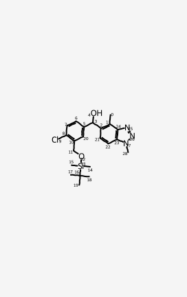 Cc1c(C(O)c2ccc(Cl)c(CO[Si](C)(C)C(C)(C)C)c2)ccc2c1nnn2C